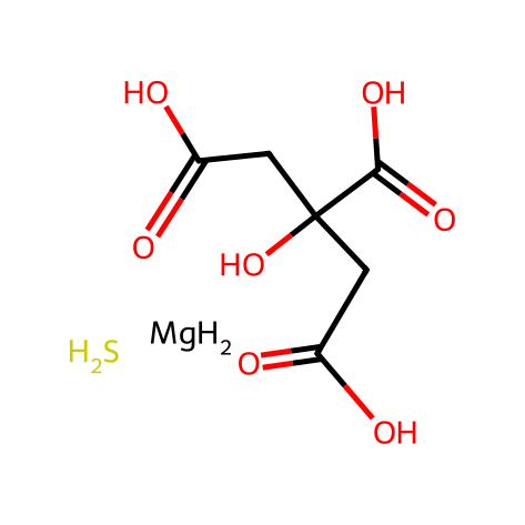 O=C(O)CC(O)(CC(=O)O)C(=O)O.S.[MgH2]